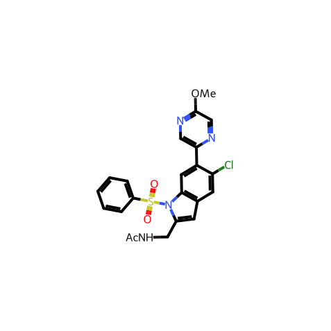 COc1cnc(-c2cc3c(cc2Cl)cc(CNC(C)=O)n3S(=O)(=O)c2ccccc2)cn1